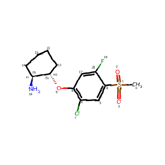 CS(=O)(=O)c1cc(Cl)c(O[C@H]2CCCC[C@@H]2N)cc1F